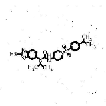 CC(C)c1ccc(S(=O)(=O)N2CCC(NC(=O)N(c3ccc4nc(S)sc4c3)C(C)C)CC2)cc1